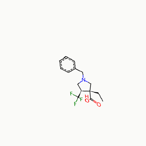 CC[C@]1(C(=O)O)CN(Cc2ccccc2)C[C@@H]1C(F)(F)F